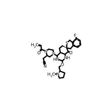 C=CC(=O)N1CCN(C2NC(OCC3CCCN3C)NC3C(=O)[C@@]4(CCC32)Cc2cccc(F)c2CS4)CC1CC#N